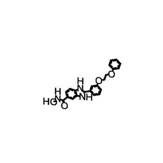 O=C(NO)c1ccc2c(c1)NC(c1cccc(OCCOc3ccccc3)c1)N2